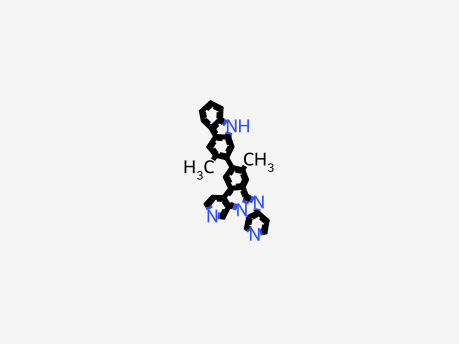 Cc1cc2c(cc1-c1cc3c4ccncc4n4c5cnccc5nc4c3cc1C)[nH]c1ccccc12